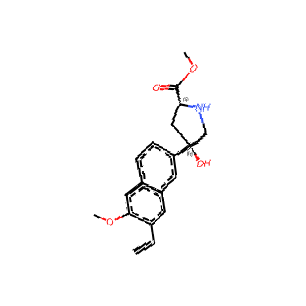 C=Cc1cc2cc([C@@]3(O)CN[C@H](C(=O)OC)C3)ccc2cc1OC